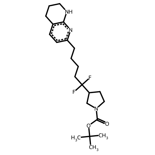 CC(C)(C)OC(=O)N1CCC(C(F)(F)CCCCc2ccc3c(n2)NCCC3)C1